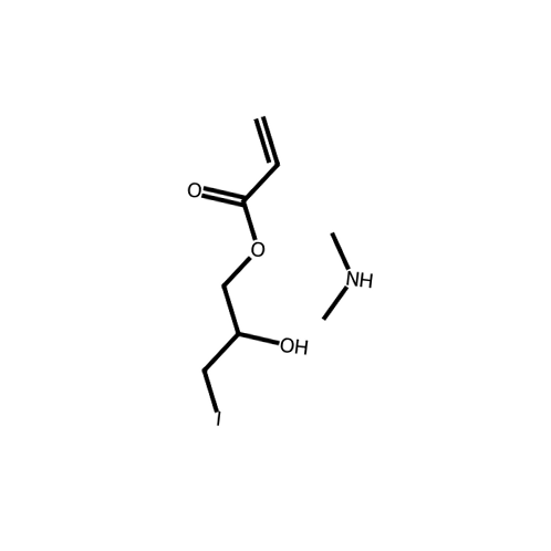 C=CC(=O)OCC(O)CI.CNC